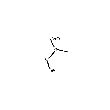 CC(C)NN(C)[C]=O